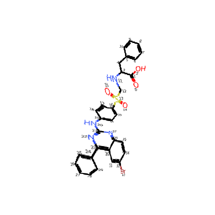 O=C(O)C(Cc1ccccc1)NCS(=O)(=O)c1ccc(Nc2nc(-c3ccccc3)c3cc(Br)ccc3n2)cc1